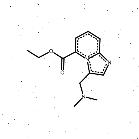 CCOC(=O)c1cccc2ncc(CN(C)C)n12